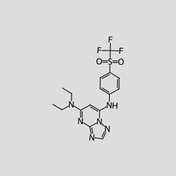 CCN(CC)c1cc(Nc2ccc(S(=O)(=O)C(F)(F)F)cc2)n2ncnc2n1